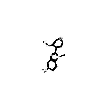 CCOC1=CNCC=C1c1nc2cc(C(F)(F)F)ccc2n1C